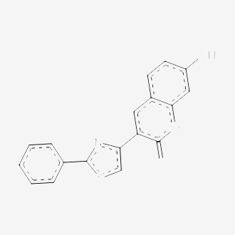 O=c1oc2cc(O)ccc2cc1-c1csc(-c2ccccc2)n1